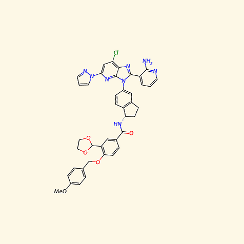 COc1ccc(COc2ccc(C(=O)N[C@H]3CCc4cc(-n5c(-c6cccnc6N)nc6c(Cl)cc(-n7cccn7)nc65)ccc43)cc2C2OCCO2)cc1